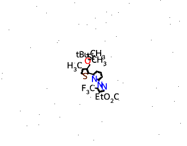 CCOC(=O)c1cnn(-c2cccc(-c3scc(C)c3CO[Si](C)(C)C(C)(C)C)n2)c1C(F)(F)F